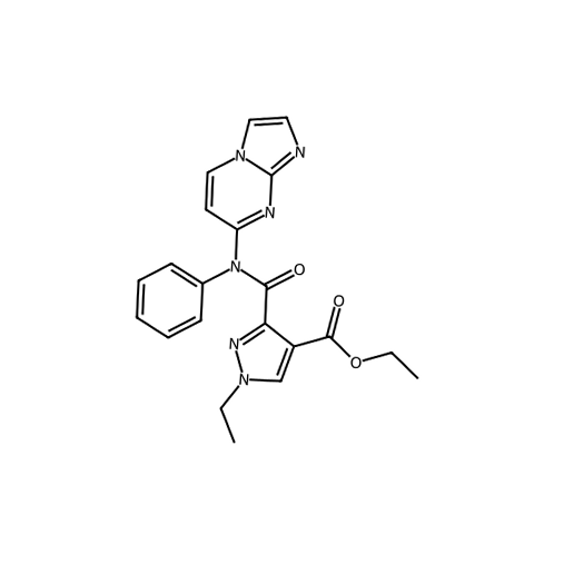 CCOC(=O)c1cn(CC)nc1C(=O)N(c1ccccc1)c1ccn2ccnc2n1